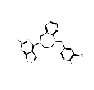 Nc1nc(N2CCN(Cc3ccc(Cl)c(Cl)c3)c3ccccc3C2)c2cn[nH]c2n1